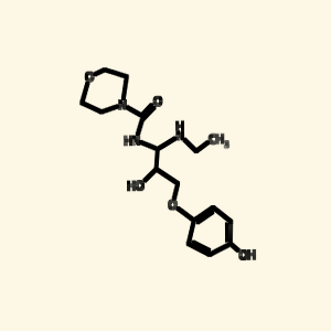 CCNC(NC(=O)N1CCOCC1)C(O)COc1ccc(O)cc1